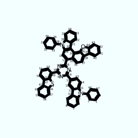 c1ccc(-n2c3ccccc3c3cc(-c4nc(-c5cc6c(c7ccccc7n6-c6ccccc6)c6c5ccc5c7ccccc7oc56)nc(-c5cccc6c5sc5ccccc56)n4)ccc32)cc1